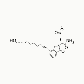 COC(=O)CC[C@@H](C(N)=O)N1Cc2c(C#CCCCCCCCCO)cccc2C1=O